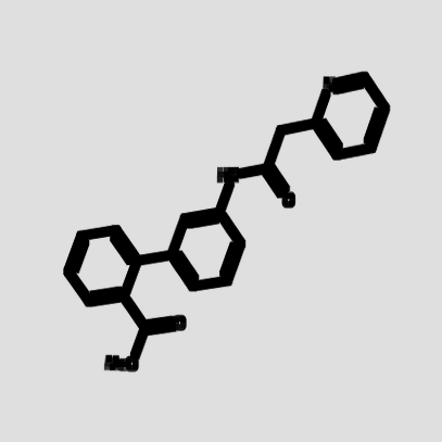 COC(=O)c1ccccc1-c1cccc(NC(=O)Cc2ccccn2)c1